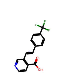 O=C(O)c1ccncc1/C=C/c1ccc(C(F)(F)F)cc1